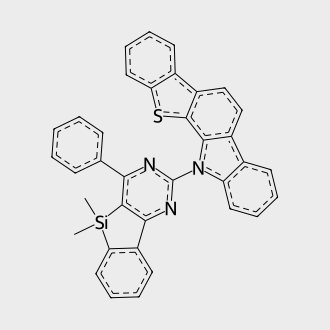 C[Si]1(C)c2ccccc2-c2nc(-n3c4ccccc4c4ccc5c6ccccc6sc5c43)nc(-c3ccccc3)c21